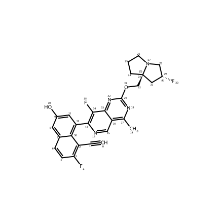 C#Cc1c(F)ccc2cc(O)cc(-c3ncc4c(C)nc(OC[C@@]56CCCN5C[C@H](F)C6)nc4c3F)c12